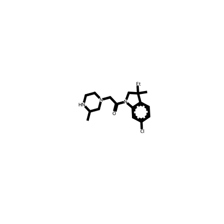 CCC1(C)CN(C(=O)CN2CCNC(C)C2)c2cc(Cl)ccc21